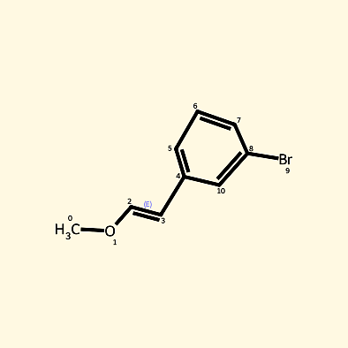 CO/C=C/c1cccc(Br)c1